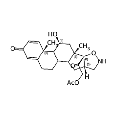 CC(=O)OCC(=O)[C@@]12ONC[C@@H]1CC1C3CCC4=CC(=O)C=C[C@]4(C)C3[C@@H](O)C[C@@]12C